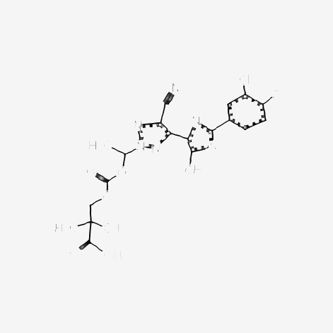 Cc1sc(-c2ccc(F)c(Cl)c2)nc1-c1nn(C(C)OC(=O)OCC(C)(C)C(=O)O)nc1C#N